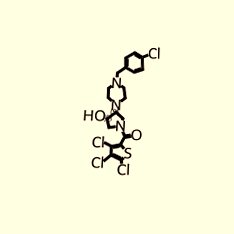 O=C(c1sc(Cl)c(Cl)c1Cl)N1C[C@H](O)[C@@H](N2CCN(Cc3ccc(Cl)cc3)CC2)C1